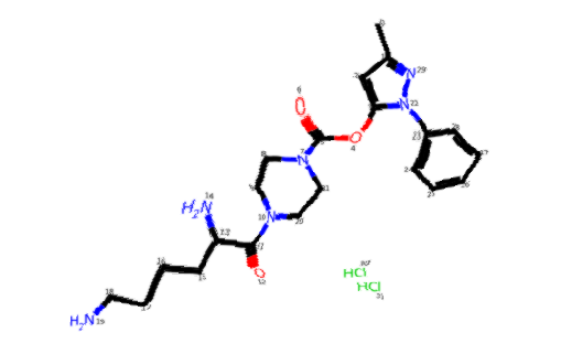 Cc1cc(OC(=O)N2CCN(C(=O)C(N)CCCCN)CC2)n(-c2ccccc2)n1.Cl.Cl